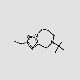 CCc1cc2n(n1)CCCN(C(C)(C)C)C2